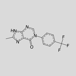 Cc1nc2c(=O)n(-c3ccc(C(F)(F)F)cc3)cnc2[nH]1